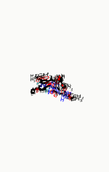 COc1c(CC(NC(=O)C(NC(=O)N2CCN(CCN/C(=N/C(=O)OC(C)(C)C)NC(=O)OC(C)(C)C)C(=O)C2=O)c2ncc(OCc3ccccc3)cc2F)B2O[C@@H]3C[C@@H]4C[C@@H](C4(C)C)[C@]3(C)O2)ccc(F)c1C(=O)OC(C)(C)C